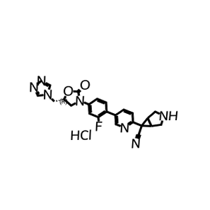 Cl.N#CC1(c2ccc(-c3ccc(N4C[C@H](Cn5cnnc5)OC4=O)cc3F)cn2)C2CNCC21